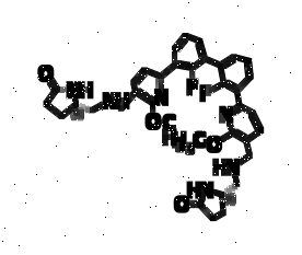 COc1nc(-c2cccc(-c3cccc(-c4ccc(CNC[C@@H]5CCC(=O)N5)c(OC)n4)c3F)c2F)ccc1CNC[C@@H]1CCC(=O)N1